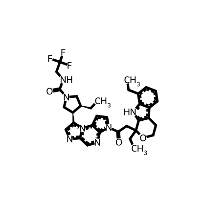 CCc1cccc2c3c([nH]c12)C(CC)(CC(=O)n1ccc2c1ncc1ncc([C@H]4CN(C(=O)NCC(F)(F)F)C[C@H]4CC)n12)OCC3